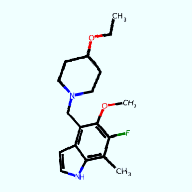 CCOC1CCN(Cc2c(OC)c(F)c(C)c3[nH]ccc23)CC1